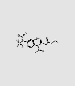 CCOC(=O)CC1=CSc2cc(N([N+](=O)[O-])S(C)(=O)=O)ccc2N1[N+](=O)[O-]